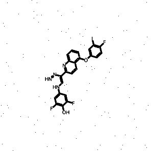 N=N/C(=C\Nc1cc(F)c(O)c(F)c1)c1ccc2c(Oc3ccc(F)c(I)c3)cccc2n1